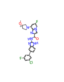 CO[C@@H]1CCN(c2cc(F)cn3cc(C(=O)Nc4nc5cc(-c6cc(F)cc(Cl)c6)ccc5[nH]4)nc23)C1